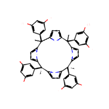 CC1(c2cc(O)cc(O)c2)c2ccc([nH]2)C(C)(c2cc(O)cc(O)c2)c2ccc([nH]2)[C@](C)(c2cc(O)cc(O)c2)c2ccc([nH]2)[C@](C)(c2cc(O)cc(O)c2)c2ccc1[nH]2